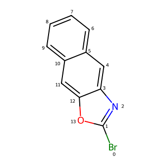 Brc1nc2cc3ccccc3cc2o1